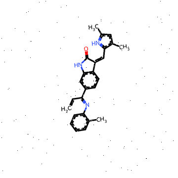 C=C/C(=N\c1ccccc1C)c1ccc2c(c1)NC(=O)/C2=C\c1[nH]c(C)cc1C